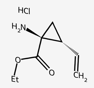 C=C[C@H]1C[C@@]1(N)C(=O)OCC.Cl